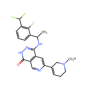 CC(Nc1n[nH]c(=O)c2cnc(C3=CCCN(C(=O)O)C3)cc12)c1cccc(C(F)F)c1F